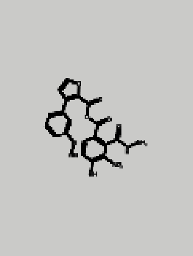 CCCCOc1cccc(-c2ccoc2C(=O)OC(=O)c2ccc(O)c([N+](=O)[O-])c2C(=O)NN)c1